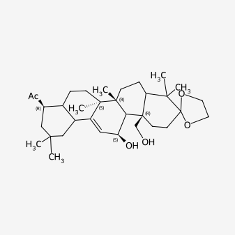 CC(=O)[C@@H]1CC(C)(C)CC2C3=C[C@H](O)C4[C@@]5(CO)CCC6(OCCO6)C(C)(C)C5CC[C@@]4(C)[C@]3(C)CCC21